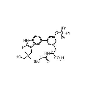 CC(C)[Si](Oc1cc(C[C@H](NC(=O)OC(C)(C)C)C(=O)O)cc(-c2ccc3[nH]c(I)c(CC(C)(C)CO)c3c2)c1)(C(C)C)C(C)C